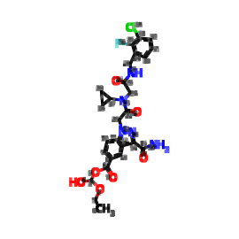 CCOC(O)OC(=O)c1ccc2c(c1)c(C(N)=O)nn2CC(=O)N(CC(=O)NCc1cccc(Cl)c1F)C1CC1